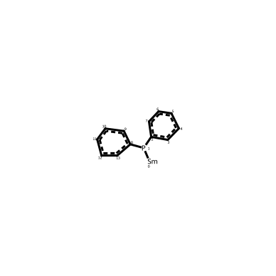 [Sm][P](c1ccccc1)c1ccccc1